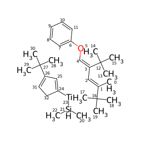 CC(=CC(=COc1ccccc1)C(C)(C)C)C(C)(C)C.C[SiH](C)[Ti][C]1=CC(C(C)(C)C)=CC1